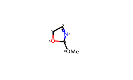 COC1N=C[CH]O1